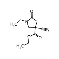 CCOC(=O)C1(C#N)CC(=O)N(CC)C1